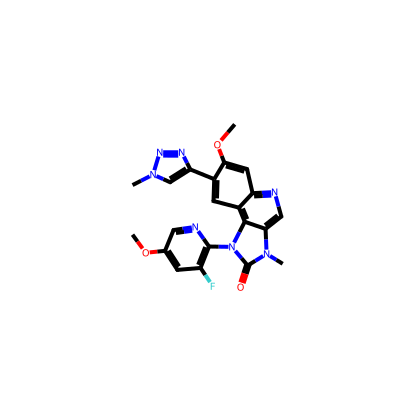 COc1cnc(-n2c(=O)n(C)c3cnc4cc(OC)c(-c5cn(C)nn5)cc4c32)c(F)c1